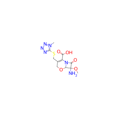 COC1(N)C(=O)N2C(C(=O)O)=C(CSc3nnnn3C)COC21